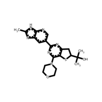 Cc1nc2cc(-c3nc4c(c(N5CCOCC5)n3)SC(C(C)(C)O)C4)cnc2[nH]1